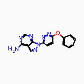 Nc1ncnc2c1cnn2-c1ccc(Oc2ccccc2)nn1